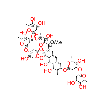 CO[C@H](C(=O)[C@@H](O)[C@@H](C)O)[C@@H]1Cc2cc3cc(O[C@H]4CC(O[C@H]5CC(O)[C@H](O)C(C)O5)[C@H](O)C(C)O4)c(C)c(O)c3c(O)c2C(=O)[C@H]1O[C@H]1C[C@@H](O[C@H]2C[C@@H](O[C@H]3C[C@@H](O)[C@H](O)C(C)O3)[C@@H](O)C(C)O2)[C@H](O)C(C)O1